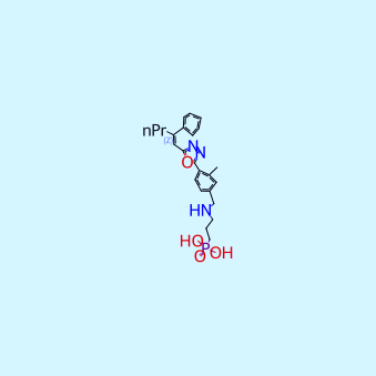 CCC/C(=C/c1nnc(-c2ccc(CNCCCP(=O)(O)O)cc2C)o1)c1ccccc1